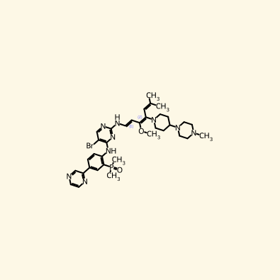 COC(/C=C/Nc1ncc(Br)c(Nc2ccc(-c3cnccn3)cc2P(C)(C)=O)n1)=C(/C=C(C)C)N1CCC(N2CCN(C)CC2)CC1